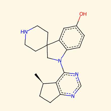 C[C@@H]1CCc2ncnc(N3CC4(CCNCC4)c4cc(O)ccc43)c21